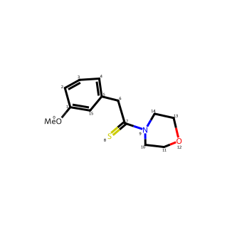 COc1cccc(CC(=S)N2CCOCC2)c1